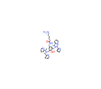 CC(c1ccccn1)N(Cc1cc(CNC(=O)CCCCCN)cc(CN(C(C)c2ccccn2)C(C)c2ccccn2)c1O)C(C)c1ccccn1